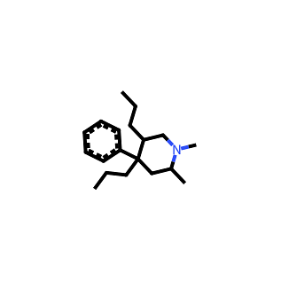 CCCC1CN(C)C(C)CC1(CCC)c1ccccc1